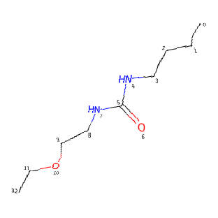 [CH2]CCCNC(=O)NCCOCC